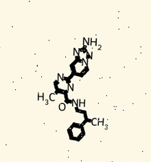 Cc1cnc(-c2ccn3nc(N)nc3c2)nc1C(=O)NCCC(C)c1ccccc1